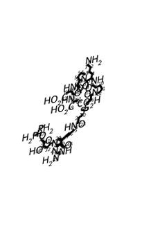 NCCCCC(NC(=O)C1CCCN1C(=O)CCSSCCC(=O)NCC#Cc1cn(C2CC(O)C(COP(P)P)O2)c2nc(N)[nH]c(=O)c12)C(=O)N1CCCC1C(=O)NC(CC(=O)O)C(=O)NC(CC(=O)O)C(=O)O